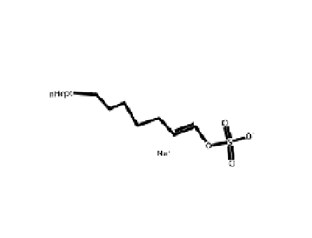 CCCCCCCCCCCCC=COS(=O)(=O)[O-].[Na+]